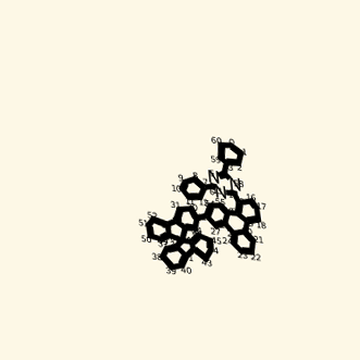 c1ccc(-c2nc(-c3ccccc3)nc(-c3cccc4c5ccccc5c5cc(-c6ccc7c(c6)C6(c8ccccc8-c8ccccc86)c6ccccc6-7)ccc5c34)n2)cc1